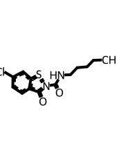 CCCCCNC(=O)n1sc2cc(Cl)ccc2c1=O